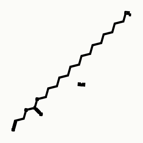 CCCCCCCCCCCCCCCCOS(=O)OCC=O.[NaH]